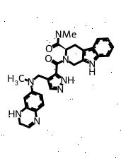 CNC(=O)[C@H]1Cc2c([nH]c3ccccc23)CN1C(=O)c1[nH]ncc1CN(C)c1ccc2c(c1)NCC=N2